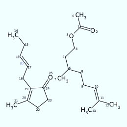 CC(=O)OCCC(C)CCC=C(C)C.CC/C=C/CC1=C(C)CCC1=O